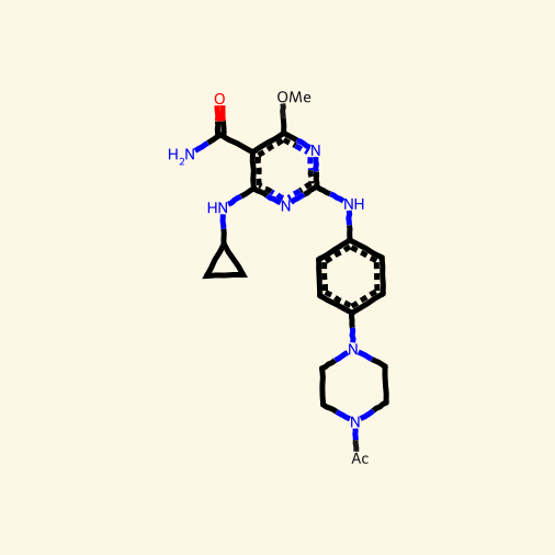 COc1nc(Nc2ccc(N3CCN(C(C)=O)CC3)cc2)nc(NC2CC2)c1C(N)=O